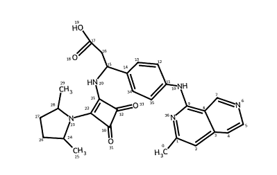 Cc1cc2ccncc2c(Nc2ccc(C(CC(=O)O)Nc3c(N4C(C)CCC4C)c(=O)c3=O)cc2)n1